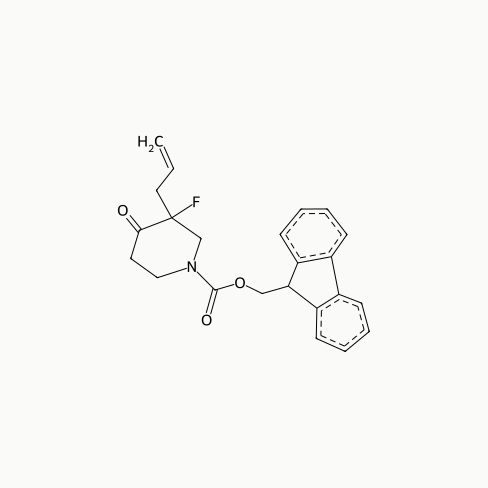 C=CCC1(F)CN(C(=O)OCC2c3ccccc3-c3ccccc32)CCC1=O